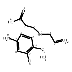 C=CCNCCC(=O)O.Cl.Nc1ccc(Cl)c(Cl)c1